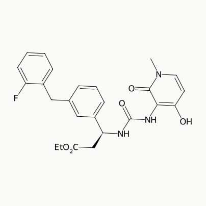 CCOC(=O)C[C@H](NC(=O)Nc1c(O)ccn(C)c1=O)c1cccc(Cc2ccccc2F)c1